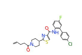 C=CCCC(=O)N1CCC(c2nc(C(=O)Nc3ccc(F)cc3-c3ccc(Cl)cc3)cs2)CC1